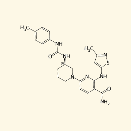 Cc1ccc(NC(=O)N[C@@H]2CCCN(c3ccc(C(N)=O)c(Nc4cc(C)ns4)n3)C2)cc1